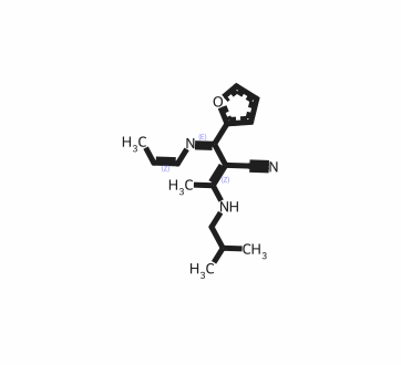 C\C=C/N=C(\C(C#N)=C(/C)NCC(C)C)c1ccco1